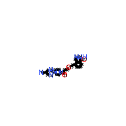 N#Cc1cnc(N2CCN(C(=O)CCOCCc3cccc4c(=O)[nH]ncc34)CC2)nc1